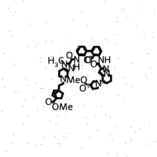 COC(=O)[C@@H]1CCN([C@H]2CCCn3nc(C(=O)Nc4cccc(-c5cccc(NC(=O)c6nc7c(n6C)CCN(CCC68CCC(C(=O)OC)(CC6)C8)C7)c5Cl)c4Cl)cc32)C1